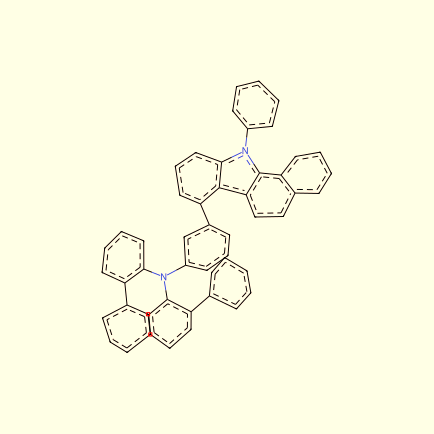 c1ccc(-c2ccccc2N(c2cccc(-c3cccc4c3c3ccc5ccccc5c3n4-c3ccccc3)c2)c2ccccc2-c2ccccc2)cc1